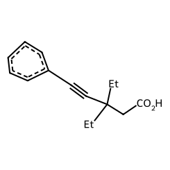 CCC(C#Cc1ccccc1)(CC)CC(=O)O